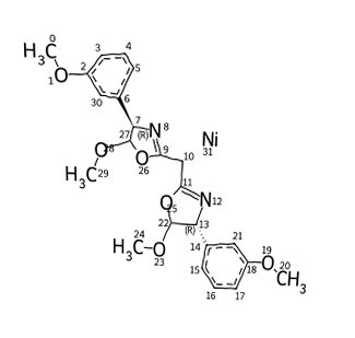 COc1cccc([C@H]2N=C(CC3=N[C@H](c4cccc(OC)c4)C(OC)O3)OC2OC)c1.[Ni]